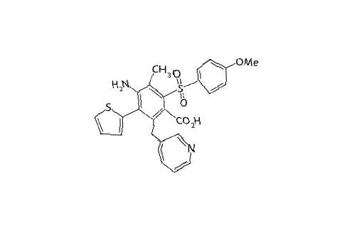 COc1ccc(S(=O)(=O)c2c(C)c(N)c(-c3cccs3)c(Cc3cccnc3)c2C(=O)O)cc1